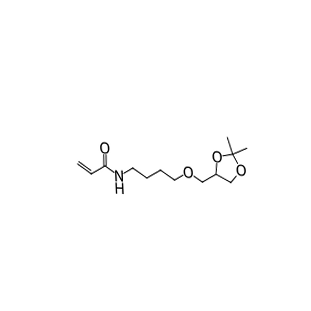 C=CC(=O)NCCCCOCC1COC(C)(C)O1